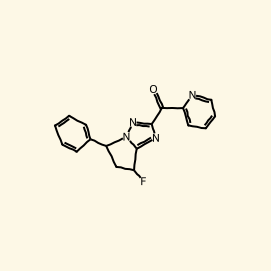 O=C(c1ccccn1)c1nc2n(n1)C(c1ccccc1)CC2F